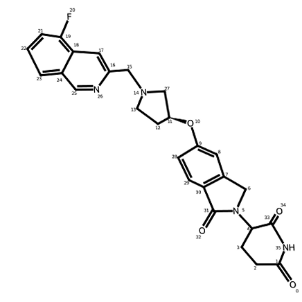 O=C1CCC(N2Cc3cc(O[C@H]4CCN(Cc5cc6c(F)cccc6cn5)C4)ccc3C2=O)C(=O)N1